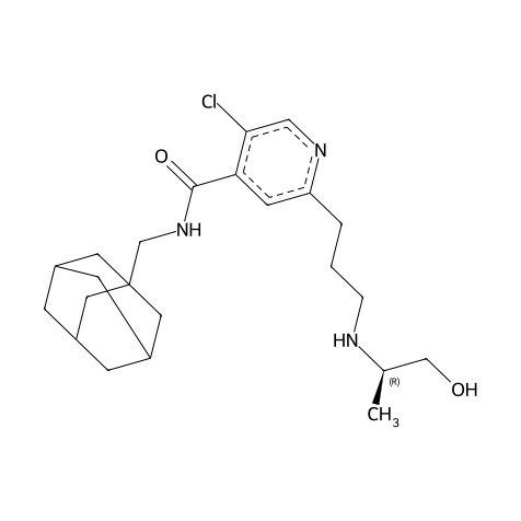 C[C@H](CO)NCCCc1cc(C(=O)NCC23CC4CC(CC(C4)C2)C3)c(Cl)cn1